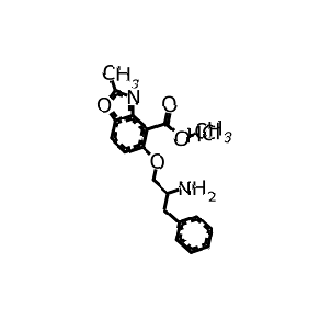 COC(=O)c1c(OCC(N)Cc2ccccc2)ccc2oc(C)nc12.Cl